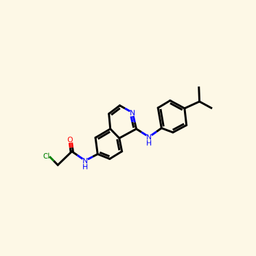 CC(C)c1ccc(Nc2nccc3cc(NC(=O)CCl)ccc23)cc1